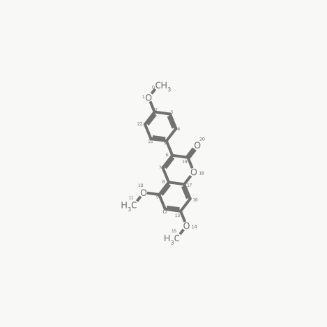 COc1ccc(-c2cc3c(OC)cc(OC)cc3oc2=O)cc1